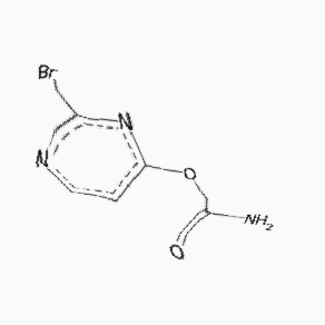 NC(=O)Oc1ccnc(Br)n1